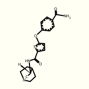 NC(=O)c1ccc(Oc2ccc(C(=O)N[C@H]3CN4CCC3CC4)s2)cc1